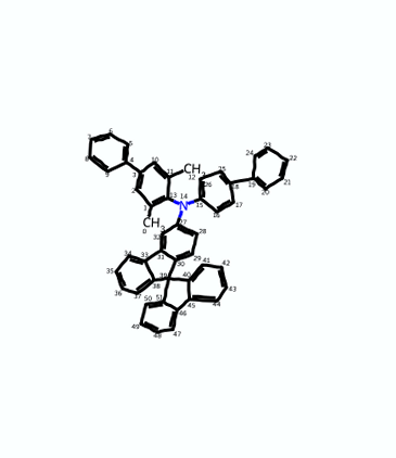 Cc1cc(-c2ccccc2)cc(C)c1N(c1ccc(-c2ccccc2)cc1)c1ccc2c(c1)-c1ccccc1C21c2ccccc2-c2ccccc21